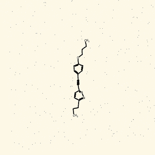 CCCCOc1ccc(C#Cc2ccc(CCC)nn2)cc1